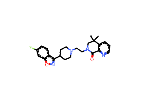 CC1(C)CN(CCN2CCC(c3noc4cc(F)ccc34)CC2)C(=O)c2ncccc21